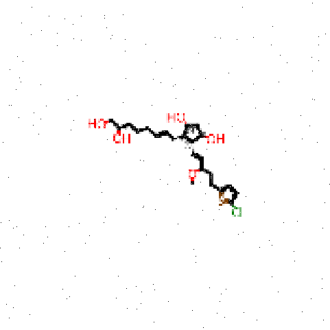 COC(C=C[C@@H]1[C@@H](CC=CCCCC(O)CO)[C@@H](O)C[C@H]1O)CCc1ccc(Cl)s1